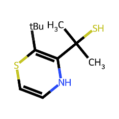 CC(C)(C)C1=C(C(C)(C)S)NC=CS1